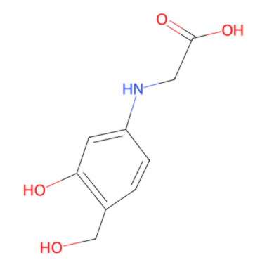 O=C(O)CNc1ccc(CO)c(O)c1